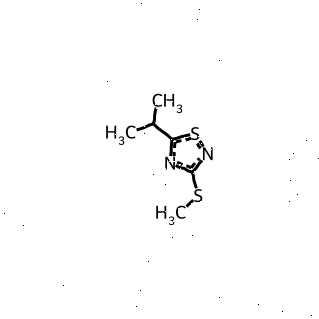 CSc1nsc(C(C)C)n1